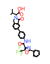 CC(C)C(C(=O)O)N1Cc2ccc(-c3ccc(NC(=O)c4nc(-c5ccccc5)oc4C(F)(F)F)cc3)cc2C1=O